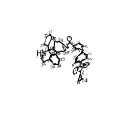 O=C(c1ccn(-c2ccc(S(=O)(=O)C3CC3)cc2)c1)N1CCC(C2(C3CCCC3)NCCc3ccccc32)CC1